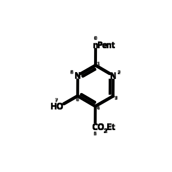 CCCCCc1ncc(C(=O)OCC)c(O)n1